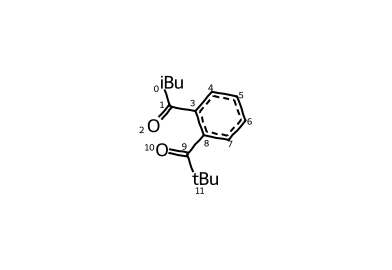 CCC(C)C(=O)c1ccccc1C(=O)C(C)(C)C